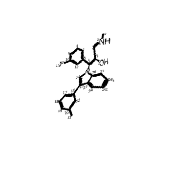 CNC[C@@H](O)[C@H](c1cccc(F)c1)n1cc(-c2cccc(C)c2)c2ccccc21